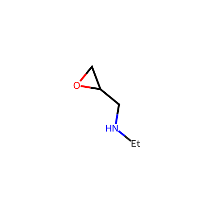 [CH2]CNCC1CO1